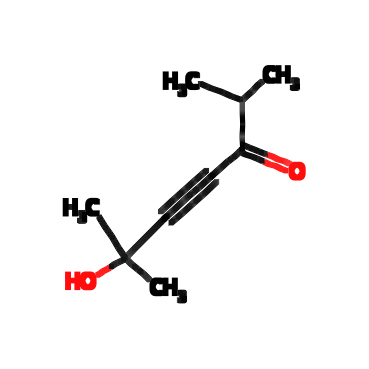 CC(C)C(=O)C#CC(C)(C)O